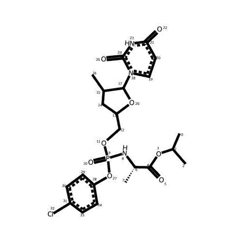 CC(C)OC(=O)[C@H](C)NP(=O)(OCC1CC(C)C(n2ccc(=O)[nH]c2=O)O1)Oc1ccc(Cl)cc1